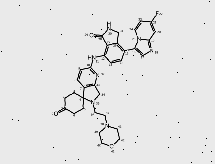 O=C1CCC2(CC1)c1ccc(Nc3ccc(-c4cnc5cc(F)ccn45)c4c3C(=O)NC4)nc1CN2CCN1CCOCC1